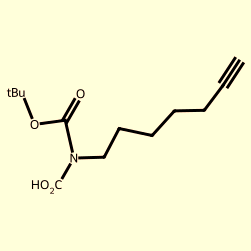 C#CCCCCCN(C(=O)O)C(=O)OC(C)(C)C